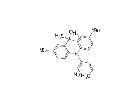 C/C=C\C(=C/C)N1c2ccc(C(C)(C)C)cc2C(C)(C)c2cc(C(C)(C)C)ccc21